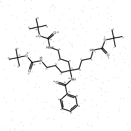 CC(C)(C)OC(=O)NCCCC(CCCNC(=O)OC(C)(C)C)(CCCNC(=O)OC(C)(C)C)NC(=O)c1ccccc1